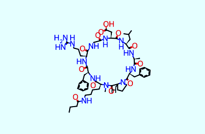 CCCC(=O)NCCCC[C@H]1C(=O)N[C@@H](Cc2ccccc2)C(=O)N[C@@H](CCCNC(=N)N)C(=O)NCC(=O)N[C@@H](CC(=O)O)C(=O)N[C@@H](CC(C)C)C(=O)N[C@@H](C)C(=O)N[C@@H](Cc2ccccc2)C(=O)N2CCC[C@@H]2C(=O)N1C